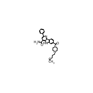 COCCCN1CCN(C(=O)c2ccc3c(c2)[nH]c2c(C(N)=O)cc(-c4ccccc4)nc23)CC1